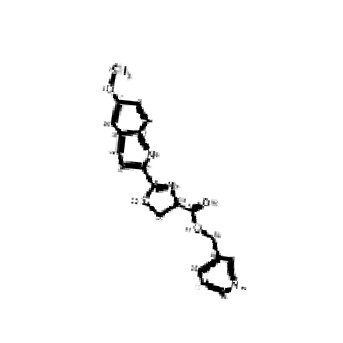 COc1ccc2nc(C3=N[C@@H](C(=O)OCc4cccnc4)CS3)ccc2c1